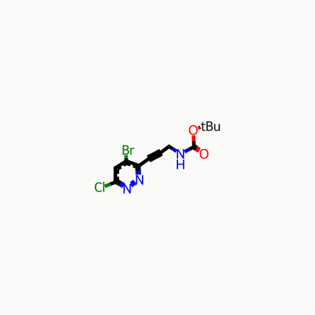 CC(C)(C)OC(=O)NCC#Cc1nnc(Cl)cc1Br